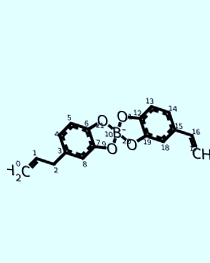 C=CCc1ccc2c(c1)O[B-]1(Oc3ccc(C=C)cc3O1)O2